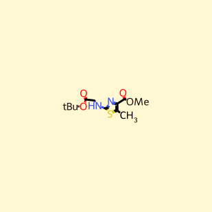 COC(=O)c1nc(NCC(=O)OC(C)(C)C)sc1C